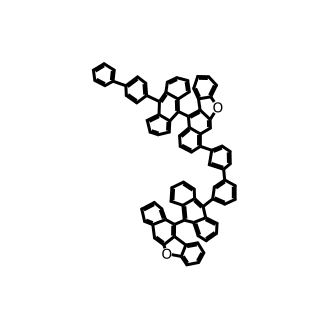 c1ccc(-c2ccc(-c3c4ccccc4c(-c4c5cccc(-c6cccc(-c7cccc(-c8c9ccccc9c(-c9c%10ccccc%10cc%10oc%11ccccc%11c9%10)c9ccccc89)c7)c6)c5cc5oc6ccccc6c45)c4ccccc34)cc2)cc1